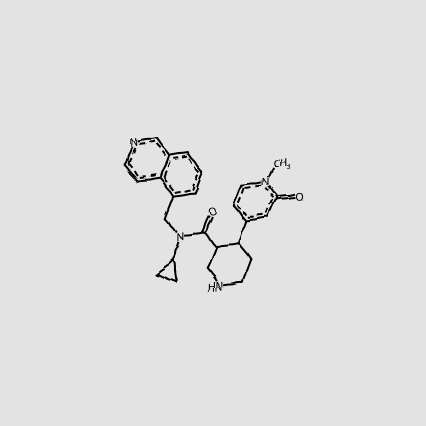 Cn1ccc(C2CCNCC2C(=O)N(Cc2cccc3cnccc23)C2CC2)cc1=O